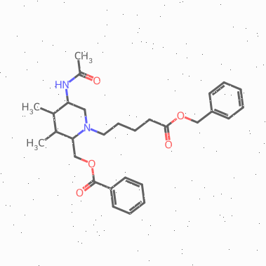 CC(=O)NC1CN(CCCCC(=O)OCc2ccccc2)C(COC(=O)c2ccccc2)C(C)C1C